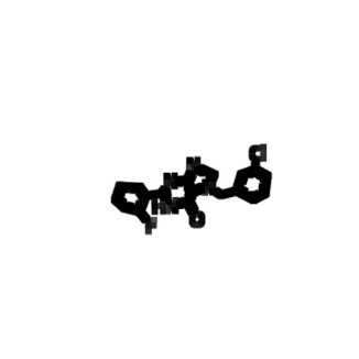 O=c1[nH]c(-c2ccccc2F)nc2ncn(Cc3cccc(Cl)c3)c12